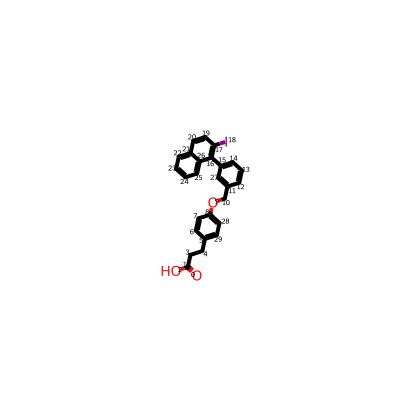 O=C(O)CCc1ccc(OCc2cccc(-c3c(I)ccc4ccccc34)c2)cc1